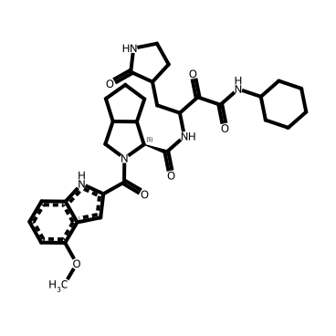 COc1cccc2[nH]c(C(=O)N3CC4CCCC4[C@H]3C(=O)NC(CC3CCNC3=O)C(=O)C(=O)NC3CCCCC3)cc12